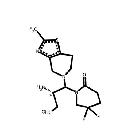 N[C@@H](CC=O)C(N1CCc2sc(C(F)(F)F)nc2C1)N1CC(F)(F)CCC1=O